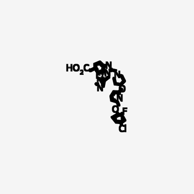 CCn1cncc1Cn1c(CN2CCC(Oc3cccc(COc4ccc(Cl)cc4F)n3)CC2)nc2ccc(CC(=O)O)cc21